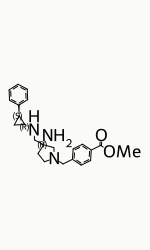 COC(=O)c1ccc(CN2CC[C@@](N)(CN[C@@H]3C[C@H]3c3ccccc3)C2)cc1